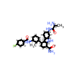 Cc1c(NC(=O)c2ccc(F)cc2)cccc1-c1ccc(C(N)=O)c2[nH]c3cc(NC(=O)C(C)N)ccc3c12